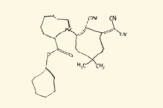 CC1(C)CC(=C(C#N)C#N)C(C#N)=C(N2CCCCC2C(=O)OC2CCCCC2)C1